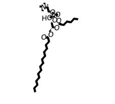 CCCCCCCCCCCCCCCC(=O)OC[C@H](COP(=O)(O)OCC[N+](C)(C)C)OC(=O)CCCCC